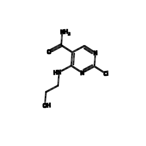 NC(=O)c1cnc(Cl)nc1NCCO